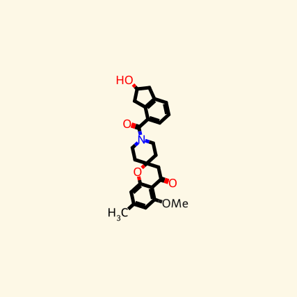 COc1cc(C)cc2c1C(=O)CC1(CCN(C(=O)c3cccc4c3CC(O)C4)CC1)O2